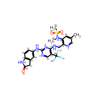 Cc1cnc(CNc2nc(Nc3ccc4c(c3)CC(=O)N4)ncc2C(F)(F)F)c(N(C)S(C)(=O)=O)c1